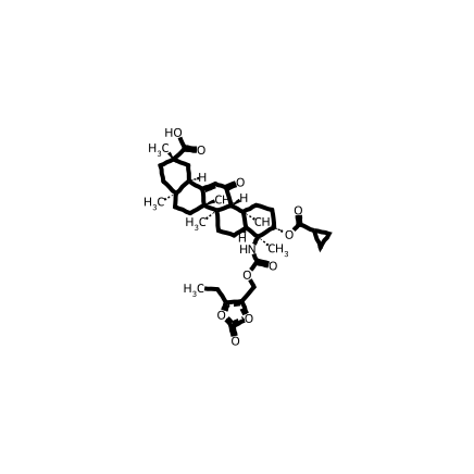 CCc1oc(=O)oc1COC(=O)N[C@]1(C)[C@@H](OC(=O)C2CC2)CC[C@@]2(C)[C@H]1CC[C@]1(C)[C@@H]2C(=O)C=C2[C@@H]3C[C@@](C)(C(=O)O)CC[C@]3(C)CC[C@]21C